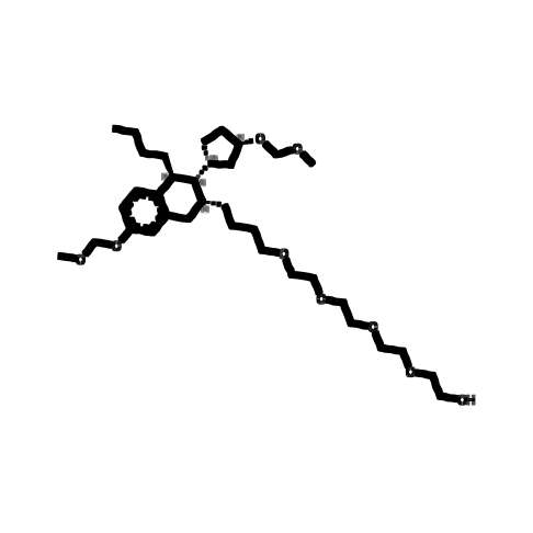 CCCC[C@@H]1c2ccc(OCOC)cc2C[C@@H](CCCCOCCOCCOCCOCCO)[C@H]1[C@@H]1CC[C@H](OCOC)C1